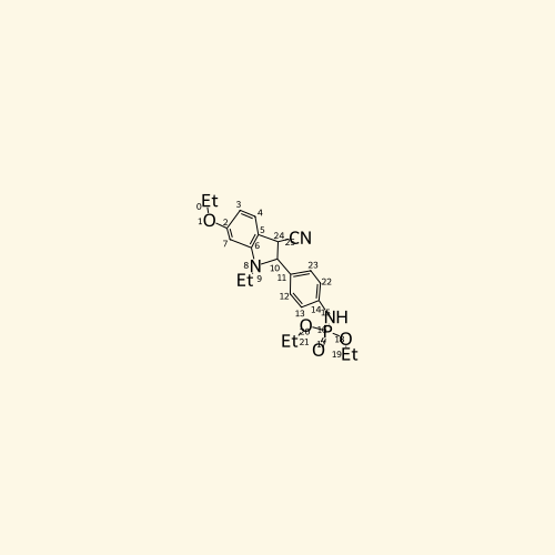 CCOc1ccc2c(c1)N(CC)C(c1ccc(NP(=O)(OCC)OCC)cc1)C2C#N